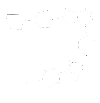 COc1ccc(-c2[nH]c(C3(C)CCN(c4ncnc5[nH]c(-c6ccc(N7CCOCC7)nc6)cc45)CC3)nc2C)cc1C